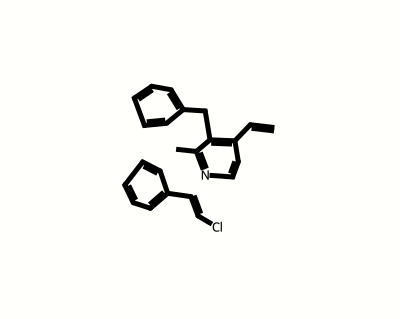 C=Cc1ccnc(C)c1Cc1ccccc1.ClC=Cc1ccccc1